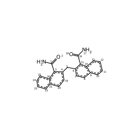 NC(=O)c1c(Cc2ccc3ccccc3c2C(N)=O)ccc2ccccc12